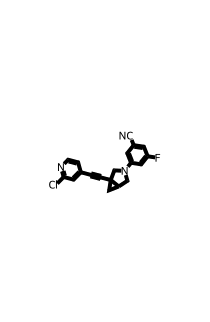 N#Cc1cc(F)cc(N2CC3CC3(C#Cc3ccnc(Cl)c3)C2)c1